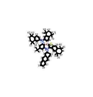 CC(C)(C)c1cc2c3c(c1)N(c1ccc4cc5ccccc5cc4c1)c1c(sc4cc5c(cc14)C(C)(C)CCC5(C)C)B3c1cc3c(cc1N2c1ccc2c(c1)C(C)(C)CCC2(C)C)C(C)(C)CCC3(C)C